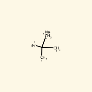 CC(C)C(C)(C)C.[Na]